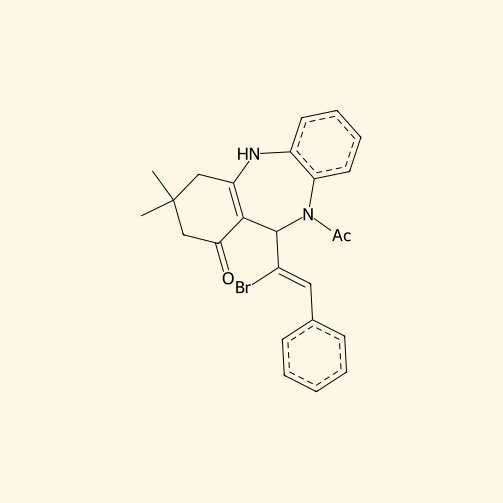 CC(=O)N1c2ccccc2NC2=C(C(=O)CC(C)(C)C2)C1C(Br)=Cc1ccccc1